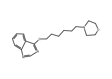 c1ccc2c(OCCCCCCN3CCOCC3)ncnc2c1